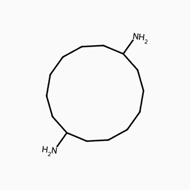 NC1CCCCCCC(N)CCCCCC1